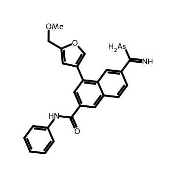 COCc1cc(-c2cc(C(=O)Nc3ccccc3)cc3ccc(C(=N)[AsH2])cc23)co1